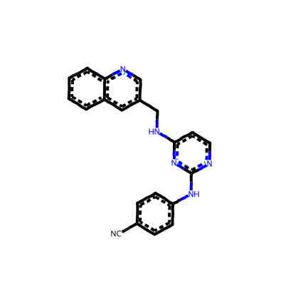 N#Cc1ccc(Nc2nccc(NCc3cnc4ccccc4c3)n2)cc1